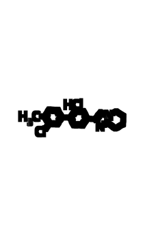 Cc1ccc(-c2ccc(-c3cn4c(n3)CCCC4)cc2)cc1Cl.Cl